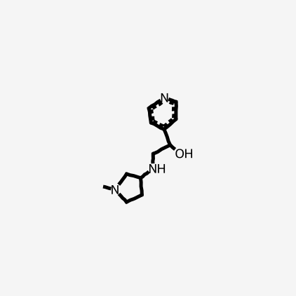 CN1CCC(NCC(O)c2ccncc2)C1